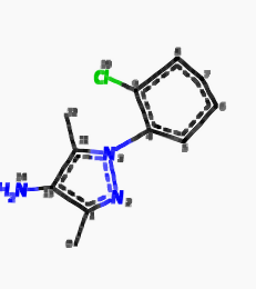 Cc1nn(-c2ccccc2Cl)c(C)c1N